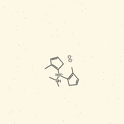 CC1=[C]([Hf+2]([C]2=C(C)C=CC2)[SiH](C)C)CC=C1.[Cl-].[Cl-]